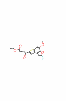 CCOC(=O)CCC(=O)c1cc2c(cc(OC)c3oc(F)cc32)s1